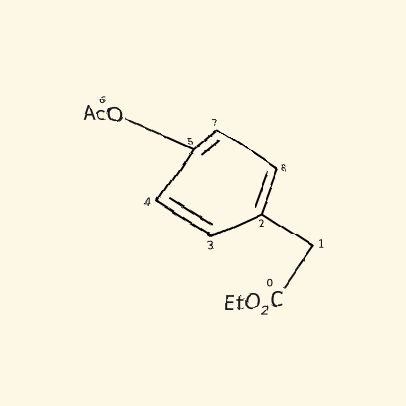 CCOC(=O)Cc1ccc(OC(C)=O)cc1